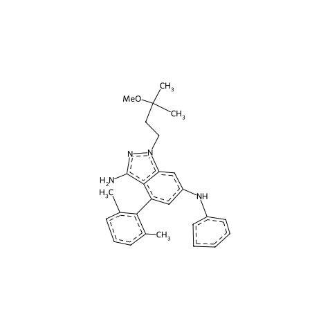 COC(C)(C)CCn1nc(N)c2c(-c3c(C)cccc3C)cc(Nc3ccccc3)cc21